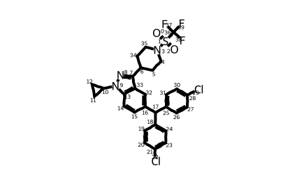 O=S(=O)(N1CCC(c2nn(C3CC3)c3ccc(C(c4ccc(Cl)cc4)c4ccc(Cl)cc4)cc23)CC1)C(F)(F)F